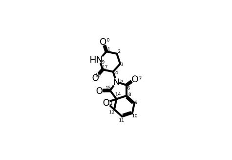 O=C1CCC(N2C(=O)C3=CC=CC4OC34C2=O)C(=O)N1